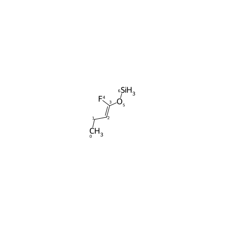 CCC=C(F)O[SiH3]